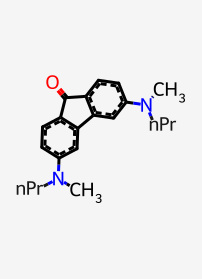 CCCN(C)c1ccc2c(c1)-c1cc(N(C)CCC)ccc1C2=O